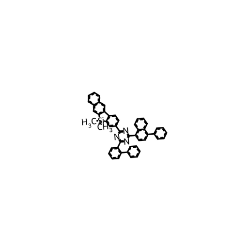 C[Si]1(C)c2cc(-c3nc(-c4ccccc4-c4ccccc4)nc(-c4ccc(-c5ccccc5)c5ccccc45)n3)ccc2-c2cc3ccccc3cc21